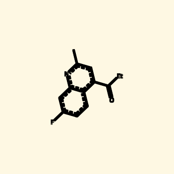 CCC(=O)c1cc(C)nc2cc(F)ccc12